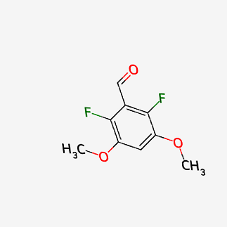 COc1cc(OC)c(F)c(C=O)c1F